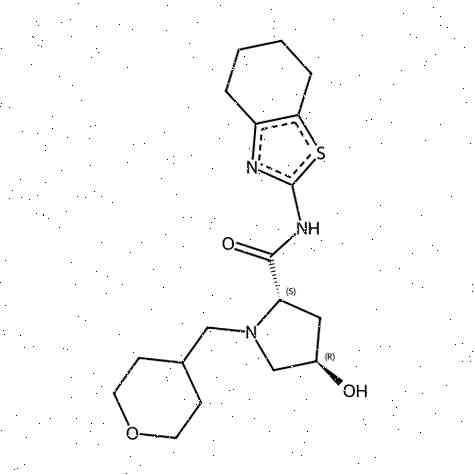 O=C(Nc1nc2c(s1)CCCC2)[C@@H]1C[C@@H](O)CN1CC1CCOCC1